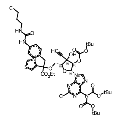 C#C[C@@]1(O)[C@@H](COC(Cc2ccc(NC(=O)NCCCCl)cc2)(C(=O)OCC)c2cscn2)O[C@@H](n2cnc3c(N(C(=O)OC(C)(C)C)C(=O)OC(C)(C)C)nc(Cl)nc32)[C@@H]1OC(=O)OC(C)(C)C